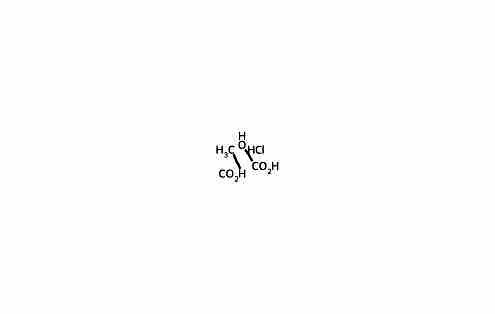 CC(=O)O.Cl.O=C(O)O